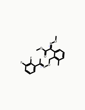 CO/N=C(/C(=O)OC)c1cccc(C)c1CO/N=C(\C)c1cccc(F)c1F